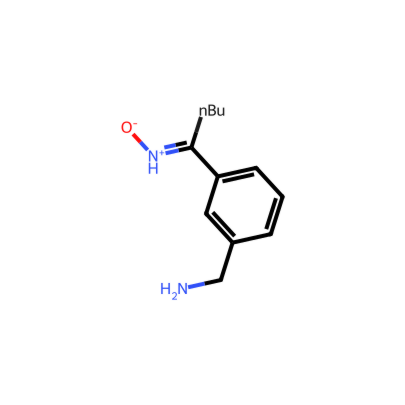 CCCCC(=[NH+][O-])c1cccc(CN)c1